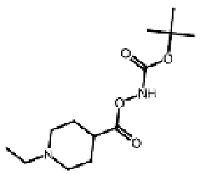 CCN1CCC(C(=O)ONC(=O)OC(C)(C)C)CC1